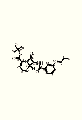 CCCOc1cccc(C(=O)NC2C(=O)N3C(C(=O)OC(C)(C)C)=CCS[C@@H]23)c1